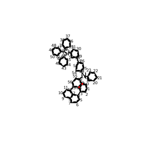 c1ccc(-c2cccc3cccc(-c4ccc(N(c5ccccc5)c5ccc(-c6cccc([Si](c7ccccc7)(c7ccccc7)c7ccccc7)c6)cc5)cc4)c23)cc1